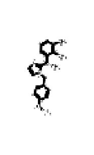 COc1ccc(Cn2ccnc2[C@@H](C)c2cccc(C)c2C)cc1